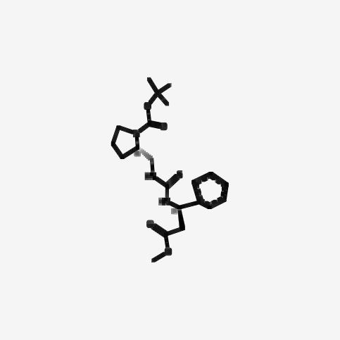 COC(=O)C[C@@H](NC(=S)NC[C@@H]1CCCN1C(=O)OC(C)(C)C)c1ccccc1